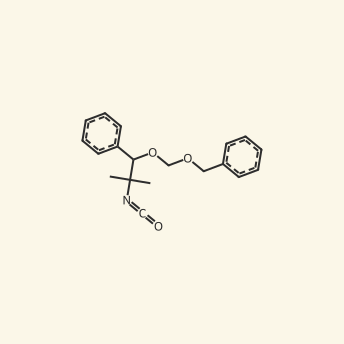 CC(C)(N=C=O)C(OCOCc1ccccc1)c1ccccc1